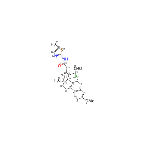 COc1ccc2c(c1)CCC1C2CCC(C)(C)C1C(CCC(=O)Nc1ncc(C)s1)C(Br)C=O